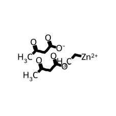 CC(=O)CC(=O)[O-].CC(=O)CC(=O)[O-].C[CH2][Zn+2]